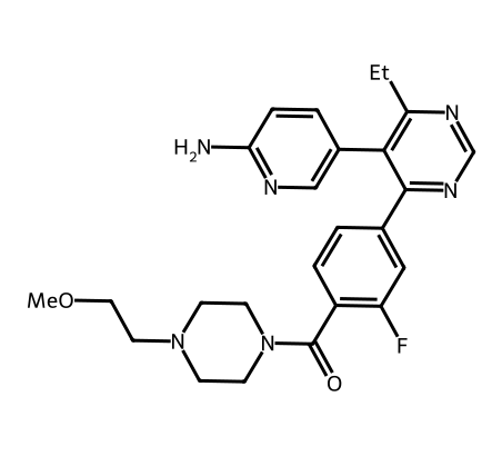 CCc1ncnc(-c2ccc(C(=O)N3CCN(CCOC)CC3)c(F)c2)c1-c1ccc(N)nc1